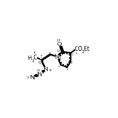 CCOC(=O)c1cccn(C[C@H](C)N=[N+]=[N-])c1=O